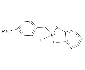 COc1ccc(C[N+]2([O-])Cc3ccccc3S2)cc1